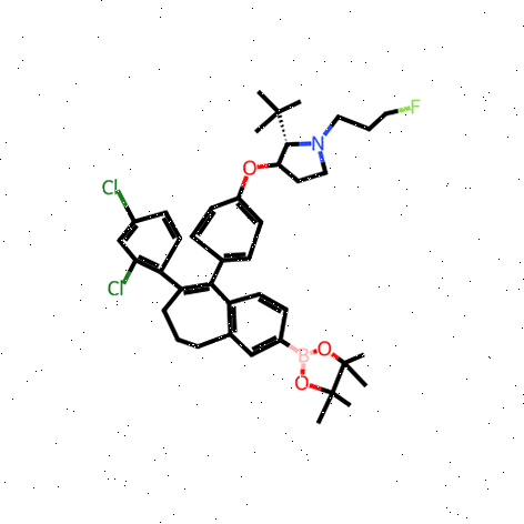 CC(C)(C)[C@H]1C(Oc2ccc(C3=C(c4ccc(Cl)cc4Cl)CCCc4cc(B5OC(C)(C)C(C)(C)O5)ccc43)cc2)CCN1CCCF